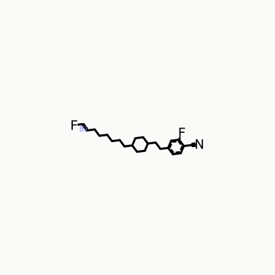 N#Cc1ccc(CCC2CCC(CCCCCC/C=C/F)CC2)cc1F